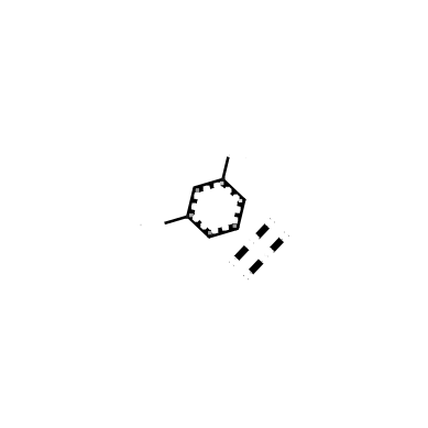 O=C(O)c1cccc(C(=O)O)c1.[N-]=[N+]=N.[N-]=[N+]=[N-]